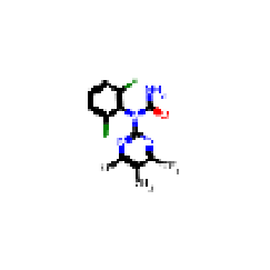 CCc1nc(N(C(N)=O)c2c(F)cccc2F)nc(C(F)(F)F)c1C